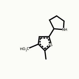 Cc1sc(C2CCCN2)cc1C(=O)O